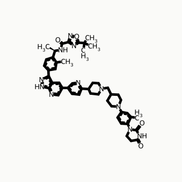 Cc1cc(-c2n[nH]c3ncc(-c4ccc(C5CCN(CC6CCN(c7ccc(N8CCC(=O)NC8=O)c(C)c7)CC6)CC5)nc4)cc23)ccc1[C@@H](C)NC(=O)c1noc(C(C)(C)C)n1